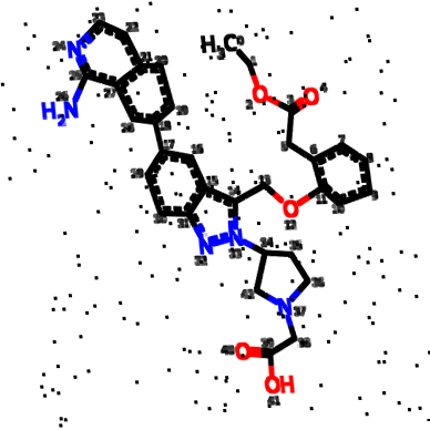 CCOC(=O)Cc1ccccc1OCc1c2cc(-c3ccc4ccnc(N)c4c3)ccc2nn1C1CCN(CC(=O)O)C1